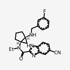 CCN(C(=O)c1nc2cc(C#N)ccc2[nH]1)[C@@]12CCC[C@]1(NCc1cccc(F)c1)C2